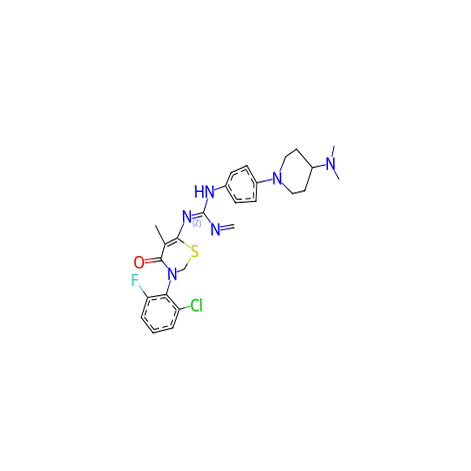 C=N/C(=N\C1=C(C)C(=O)N(c2c(F)cccc2Cl)CS1)Nc1ccc(N2CCC(N(C)C)CC2)cc1